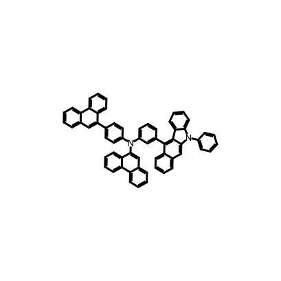 c1ccc(-n2c3ccccc3c3c(-c4cccc(N(c5ccc(-c6cc7ccccc7c7ccccc67)cc5)c5cc6ccccc6c6ccccc56)c4)c4ccccc4cc32)cc1